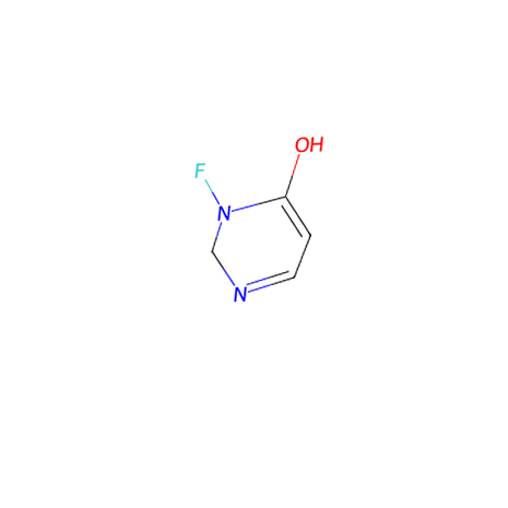 OC1=CC=NCN1F